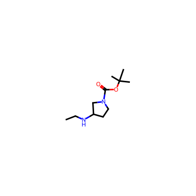 CCNC1CCN(C(=O)OC(C)(C)C)C1